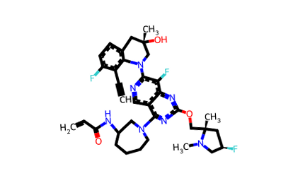 C#Cc1c(F)ccc2c1N(c1ncc3c(N4CCCCC(NC(=O)C=C)C4)nc(OC[C@]4(C)C[C@@H](F)CN4C)nc3c1F)C[C@@](C)(O)C2